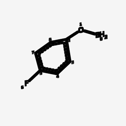 BOc1ccc(F)cc1